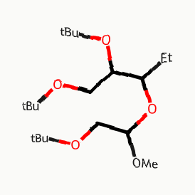 CCC(OC(COC(C)(C)C)OC)C(COC(C)(C)C)OC(C)(C)C